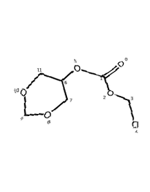 O=C(OCCl)OC1COCOC1